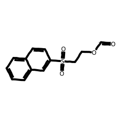 O=[C]OCCS(=O)(=O)c1ccc2ccccc2c1